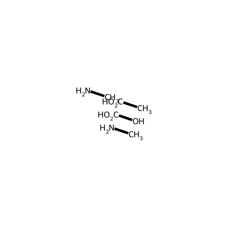 CC(=O)O.CN.CN.O=C(O)O